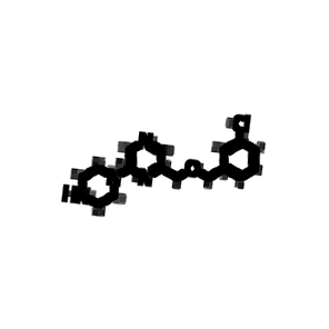 Clc1cccc(COCc2cncc(N3CCNCC3)n2)c1